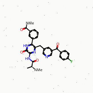 CNC(=O)c1cccc(-c2[nH]c(=O)c(NC(=O)[C@H](C)NC)nc2Cc2cncc(C(=O)c3ccc(F)cc3)c2)c1